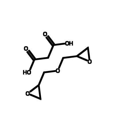 C(OCC1CO1)C1CO1.O=C(O)CC(=O)O